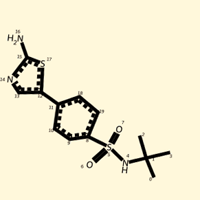 CC(C)(C)NS(=O)(=O)c1ccc(-c2cnc(N)s2)cc1